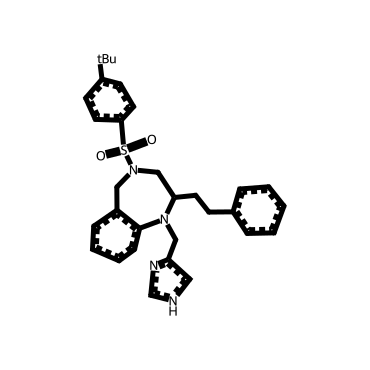 CC(C)(C)c1ccc(S(=O)(=O)N2Cc3ccccc3N(Cc3c[nH]cn3)C(CCc3ccccc3)C2)cc1